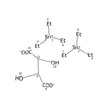 C[CH2][Sn+]([CH2]C)[CH2]C.C[CH2][Sn+]([CH2]C)[CH2]C.O=C([O-])C(O)C(O)C(=O)[O-]